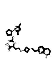 Cc1cc(C)n([C@@H]2CCC[C@H]2OC(=O)NC(CCO[C@H]2C[C@H](CCc3ccc4c(n3)NCCC4)C2)C(=O)O)n1